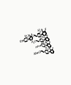 C=CCN1CCN(c2cccc(F)c2N)CC1.C=CCN1CCN(c2cccc(F)c2O)CC1.CCCN1CCN(c2cccc(F)c2N)CC1.CCN1CCN(c2cccc(F)c2N)CC1.COCCN1CCN(c2cccc(F)c2N)CC1